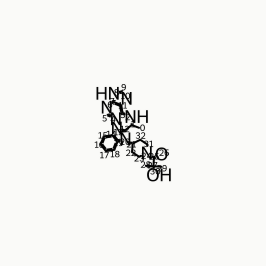 CC(Nc1ncnc2[nH]cnc12)c1nc2ccccc2n1C1CCN(C(=O)C(C)(C)O)CC1